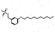 CCCCCCCCCCOc1cccc(COS(C)(=O)=O)c1